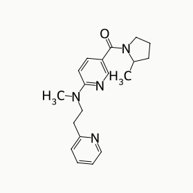 CC1CCCN1C(=O)c1ccc(N(C)CCc2ccccn2)nc1